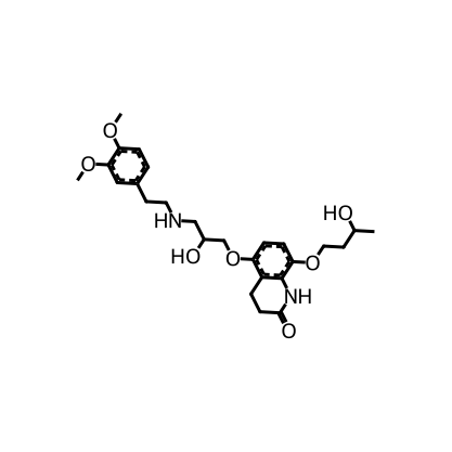 COc1ccc(CCNCC(O)COc2ccc(OCCC(C)O)c3c2CCC(=O)N3)cc1OC